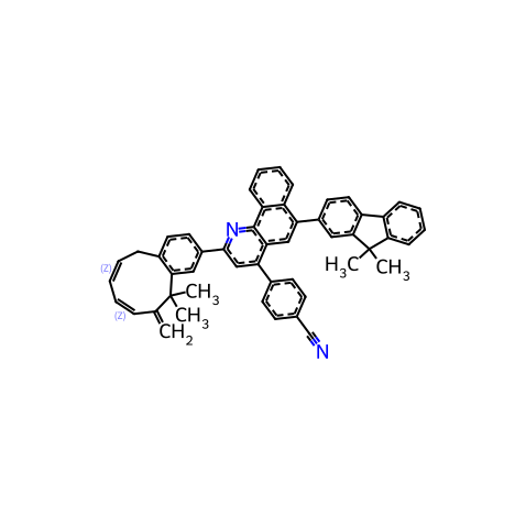 C=C1/C=C\C=C/Cc2ccc(-c3cc(-c4ccc(C#N)cc4)c4cc(-c5ccc6c(c5)C(C)(C)c5ccccc5-6)c5ccccc5c4n3)cc2C1(C)C